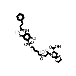 O=C(O)[C@@H]1CC2(CN1C(=O)CP(=O)(O)CCCCNS(=O)(=O)c1cc3c(cc1Cl)NC(CCc1ccccc1)NS3)SCCS2